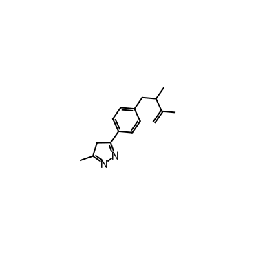 C=C(C)C(C)Cc1ccc(C2=NN=C(C)C2)cc1